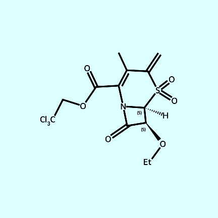 C=C1C(C)=C(C(=O)OCC(Cl)(Cl)Cl)N2C(=O)[C@H](OCC)[C@@H]2S1(=O)=O